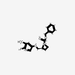 Cc1cc(OC[C@@H]2CCN2C(=O)OCc2ccccc2)cnc1F